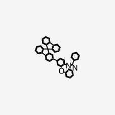 c1ccc(-c2nc3cccc4c3n2-c2ccc(-c3ccc5c(c3)C3(c6ccccc6-c6ccccc63)c3ccccc3-5)cc2O4)cc1